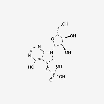 O=P(O)(O)ON1CN([C@@H]2O[C@H](CO)[C@@H](O)[C@H]2O)c2ncnc(O)c21